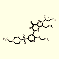 CCOc1ncc(S(=O)(=O)N2CCN(CC)CC2)cc1-c1nc2c(CC)n(C(C)CC)nc2c(=O)[nH]1